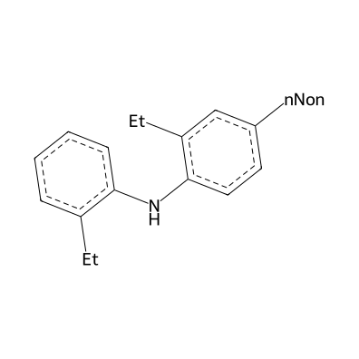 CCCCCCCCCc1ccc(Nc2ccccc2CC)c(CC)c1